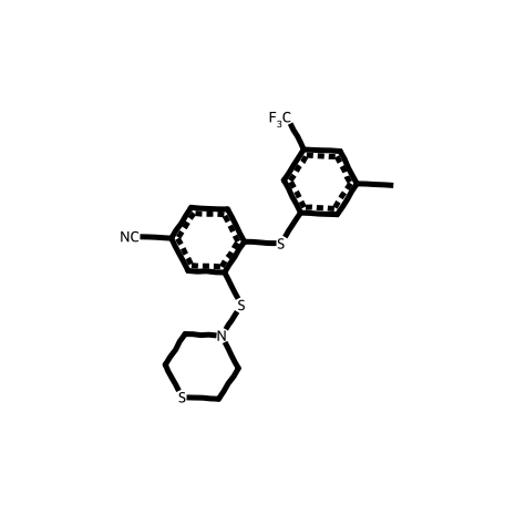 Cc1cc(Sc2ccc(C#N)cc2SN2CCSCC2)cc(C(F)(F)F)c1